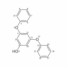 Oc1cc(Oc2ccccc2)cc(Oc2ccccc2)c1